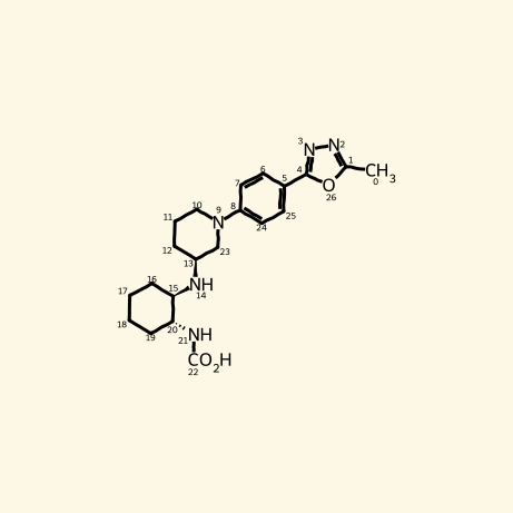 Cc1nnc(-c2ccc(N3CCC[C@H](N[C@@H]4CCCC[C@H]4NC(=O)O)C3)cc2)o1